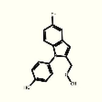 COCc1cc2cc(C)ccc2n1-c1ccc(O)cc1